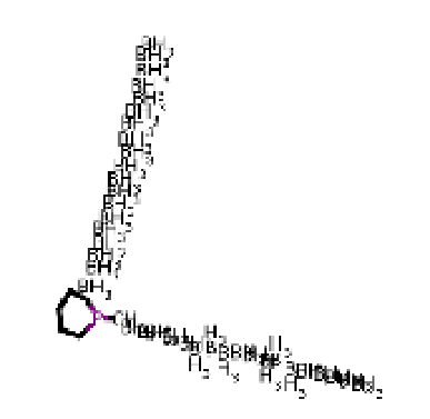 B.B.B.B.B.B.B.B.B.B.B.B.B.B.B.B.B.B.B.B.B.B.B.B.B.B.B.B.B.B.B.B.B.B.B.B.B.CP1CCCCC1